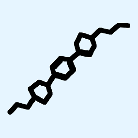 CCCCC1CC=C(c2ccc(C3CCC(CCC)CC3)cc2)CC1